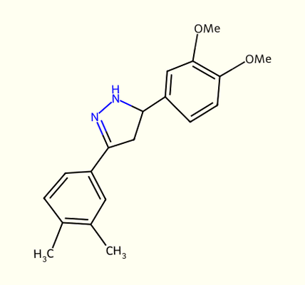 COc1ccc(C2CC(c3ccc(C)c(C)c3)=NN2)cc1OC